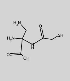 NCC(N)(NC(=O)CS)C(=O)O